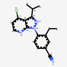 CCc1cc(C#N)ccc1-n1nc(C(C)C)c2c(Cl)ccnc21